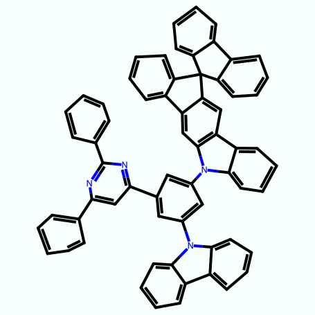 c1ccc(-c2cc(-c3cc(-n4c5ccccc5c5ccccc54)cc(-n4c5ccccc5c5cc6c(cc54)-c4ccccc4C64c5ccccc5-c5ccccc54)c3)nc(-c3ccccc3)n2)cc1